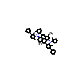 Cc1ccccc1N(c1c(C)ccc(-c2ccccc2)c1C)c1cc(C(C)C)c2ccc3c(N(c4ccccc4C)c4c(C)ccc(-c5ccccc5)c4C)cc(C(C)C)c4ccc1c2c43